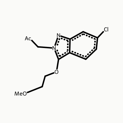 COCCOc1c2ccc(Cl)cc2nn1CC(C)=O